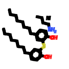 CCCCCCCCc1ccc(O)c(Sc2cc(CCCCCCCC)ccc2O)c1.CCCCN.[Ni]